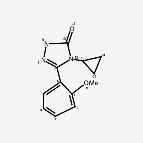 COc1ccccc1C1=N[N]C(=O)N1C1CC1